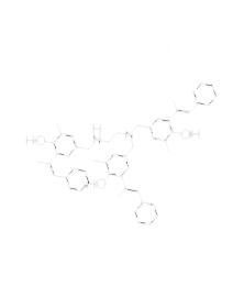 CC(=Cc1ccccc1)c1cc(CNCCN(Cc2cc(C)c(O)c(C(C)=Cc3ccccc3)c2)Cc2cc(C)c(O)c(C(C)=Cc3ccccc3)c2)cc(C)c1O